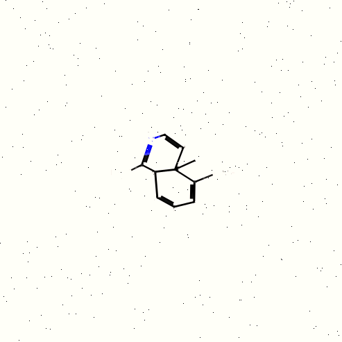 COC1=CC=CC2C(C(=O)O)=NC=CC12C